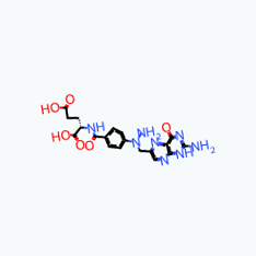 Nc1nc(=O)c2nc(CN(N)c3ccc(C(=O)N[C@@H](CCC(=O)O)C(=O)O)cc3)cnc2[nH]1